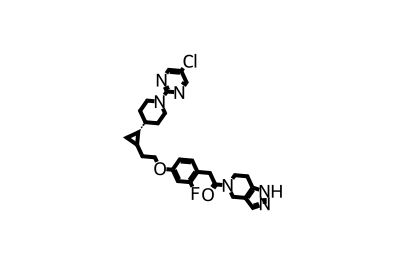 O=C(Cc1ccc(OCCC2C[C@@H]2C2CCN(c3ncc(Cl)cn3)CC2)cc1F)N1CCc2[nH]ncc2C1